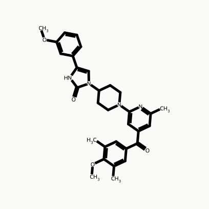 COc1cccc(-c2cn(C3CCN(c4cc(C(=O)c5cc(C)c(OC)c(C)c5)cc(C)n4)CC3)c(=O)[nH]2)c1